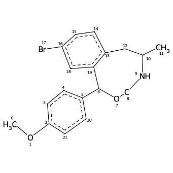 COc1ccc(C2OCNC(C)Cc3ccc(Br)cc32)cc1